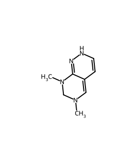 CN1C=C2C=CNN=C2N(C)C1